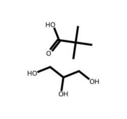 CC(C)(C)C(=O)O.OCC(O)CO